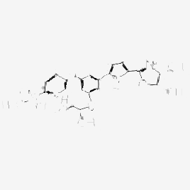 C=S(C)(=O)c1ccc(Oc2cc(O[C@@H](C)CO)cc(-c3ccc(C4=N[C@H](C)[C@H](C)O4)[nH]3)c2)cn1